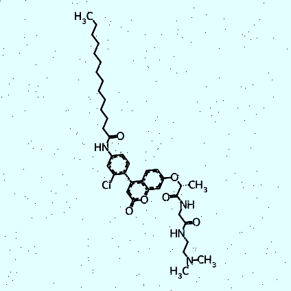 CCCCCCCCCCCCCC(=O)Nc1ccc(-c2cc(=O)oc3cc(O[C@H](C)C(=O)NCC(=O)NCCN(C)C)ccc23)c(Cl)c1